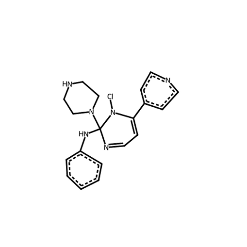 ClN1C(c2ccncc2)=CC=NC1(Nc1ccccc1)N1CCNCC1